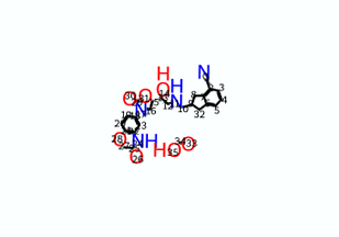 N#Cc1cccc2c1CC(CNCC(O)[C@@H]1CN(c3ccc4c(c3)NC(=O)CO4)C(=O)O1)C2.O=CO